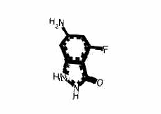 Nc1cc(F)c2c(=O)[nH][nH]c2c1